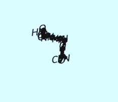 CCOc1c(Cl)cc(C(C)(C)c2ccc(OCc3ccnc(N4CCC(CN(C)C5CCN(c6ccc7c(c6)n(C)c(=O)n7C6CCC(=O)NC6=O)CC5)CC4)n3)cc2)cc1C#N